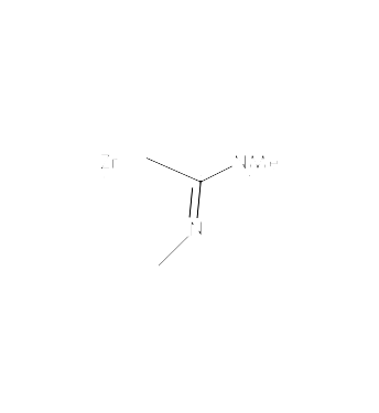 CN=C(C)NC.[Zr]